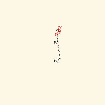 CCCCCCCCCCCCCCCCOC(=O)/C=C\C(=O)[O-].[K+]